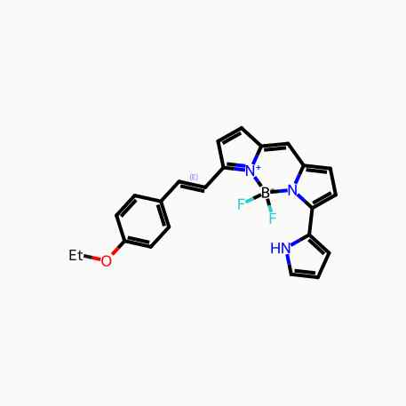 CCOc1ccc(/C=C/C2=[N+]3C(=Cc4ccc(-c5ccc[nH]5)n4[B-]3(F)F)C=C2)cc1